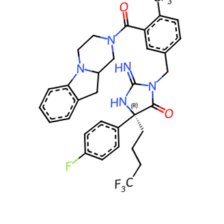 N=C1N[C@](CCCC(F)(F)F)(c2ccc(F)cc2)C(=O)N1Cc1ccc(C(F)(F)F)c(C(=O)N2CCN3c4ccccc4CC3C2)c1